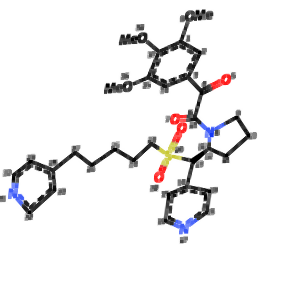 COc1cc(C(=O)C(=O)N2CCC[C@H]2C(c2ccncc2)S(=O)(=O)CCCCCc2ccncc2)cc(OC)c1OC